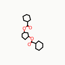 O=C(OC1CCCC(OC(=O)C2CCCCC2)C1)C1CCCCC1